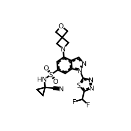 N#CC1(NS(=O)(=O)c2cc(N3CC4(COC4)C3)c3cnn(-c4nnc(C(F)F)s4)c3c2)CC1